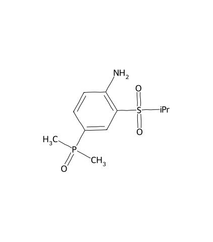 CC(C)S(=O)(=O)c1cc(P(C)(C)=O)ccc1N